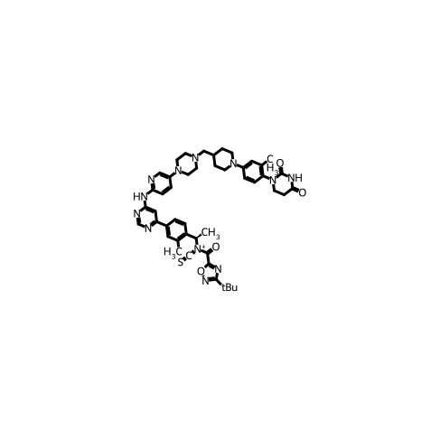 Cc1cc(-c2cc(Nc3ccc(N4CCN(CC5CCN(c6ccc(N7CCC(=O)NC7=O)c(C)c6)CC5)CC4)cn3)ncn2)ccc1[C@@H](C)[N+](=C=S)C(=O)c1nc(C(C)(C)C)no1